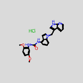 COc1ccc(OC)c(NC(=O)Nc2cccc3c2ccn3Cc2c[nH]c3ncccc23)c1.Cl